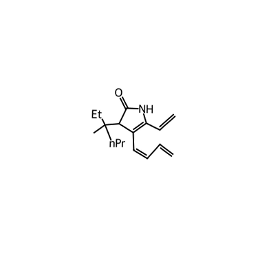 C=C/C=C\C1=C(C=C)NC(=O)C1C(C)(CC)CCC